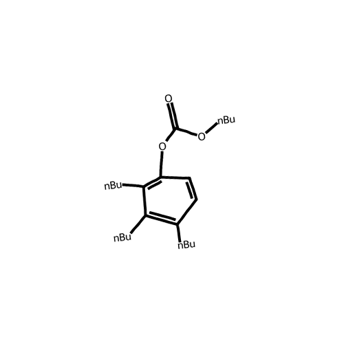 CCCCOC(=O)Oc1ccc(CCCC)c(CCCC)c1CCCC